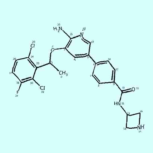 CC(Oc1cc(-c2ccc(C(=O)NC3CNC3)cc2)cnc1N)c1c(Cl)ccc(F)c1Cl